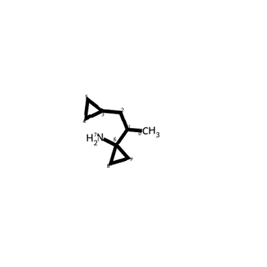 CC(CC1CC1)C1(N)CC1